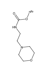 CCCOC(=O)NCCN1CCOCC1